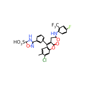 Cc1cc2c(-c3cccc(C4=NOC(S(=O)(=O)O)N4)c3)c(CC(=O)Nc3ccc(F)cc3C(F)(F)F)c(=O)oc2cc1Cl